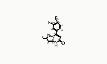 Cc1cc2[nH]c(=O)cc(-c3ccc(F)c(F)c3)n2n1